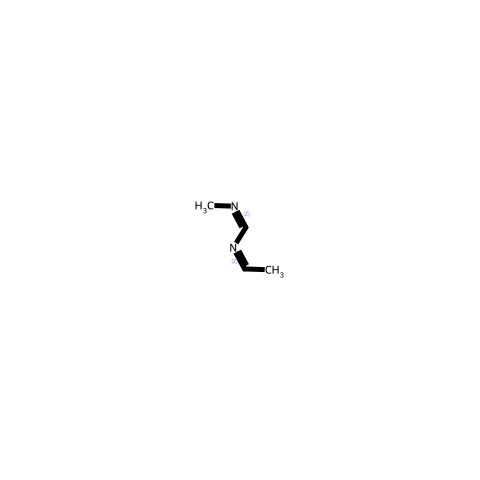 C/C=N\C=N/C